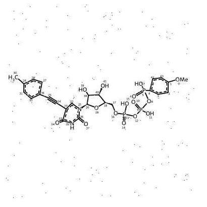 COc1ccc(P(=O)(O)OP(=O)(O)OP(=O)(O)OC[C@H]2O[C@@H](n3cc(C#Cc4ccc(C)cc4)c(=O)[nH]c3=O)C(O)[C@H]2O)cc1